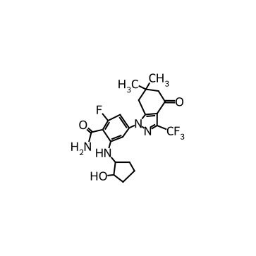 CC1(C)CC(=O)c2c(C(F)(F)F)nn(-c3cc(F)c(C(N)=O)c(NC4CCCC4O)c3)c2C1